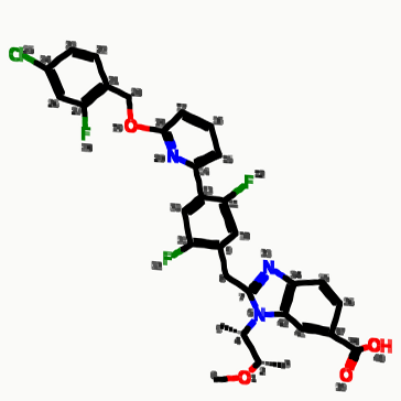 CO[C@@H](C)[C@H](C)n1c(Cc2cc(F)c(-c3cccc(OCc4ccc(Cl)cc4F)n3)cc2F)nc2ccc(C(=O)O)cc21